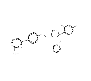 Nc1nccc(-c2ccc(OC[C@@H]3CO[C@@](Cn4ccnc4)(c4ccc(Cl)cc4Cl)O3)cc2)n1